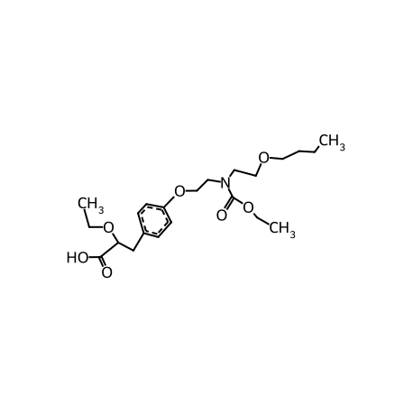 CCCCOCCN(CCOc1ccc(CC(OCC)C(=O)O)cc1)C(=O)OCC